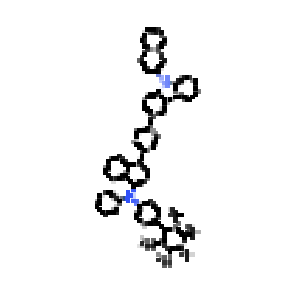 [2H]c1c([2H])c([2H])c(-c2ccc(N(c3ccccc3)c3ccc(-c4ccc(-c5ccc6c(c5)c5ccccc5n6-c5ccc6ccccc6c5)cc4)c4ccccc34)cc2)c([2H])c1[2H]